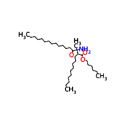 CCCCCCCCCCCCCC(=O)C(C)(N)C(CCCCCCCCCC)C(=O)OCCCCCC